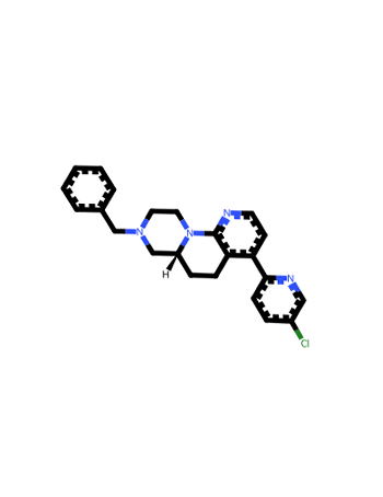 Clc1ccc(-c2ccnc3c2CC[C@@H]2CN(Cc4ccccc4)CCN32)nc1